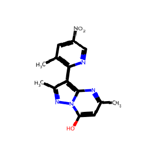 Cc1cc(O)n2nc(C)c(-c3ncc([N+](=O)[O-])cc3C)c2n1